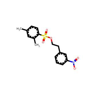 Cc1ccc(S(=O)(=O)OCCc2cccc([N+](=O)[O-])c2)c(C)c1